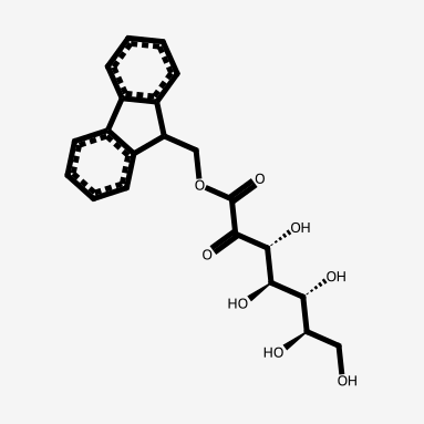 O=C(OCC1c2ccccc2-c2ccccc21)C(=O)[C@H](O)[C@H](O)[C@H](O)[C@H](O)CO